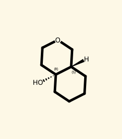 O[C@@]12CCCC[C@H]1COCC2